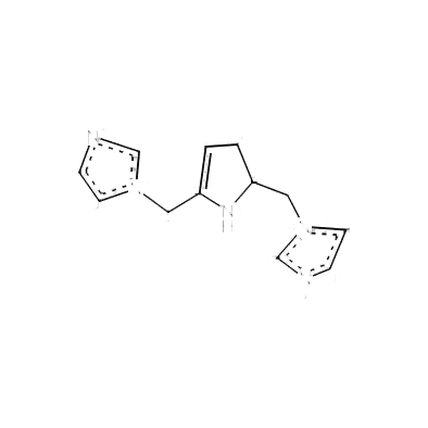 C1=C(Cn2ccnc2)NC(Cn2ccnc2)C1